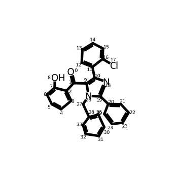 O=C(c1ccccc1O)c1c(-c2ccccc2Cl)nc(-c2ccccc2)n1Cc1ccccc1